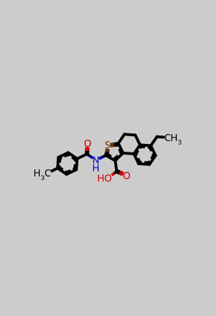 CCc1cccc2c1CCc1sc(NC(=O)c3ccc(C)cc3)c(C(=O)O)c1-2